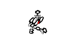 c1ccc(-c2nc(-c3ccccc3)nc(-c3cccc4oc5cc(N(c6ccc7ccccc7c6)c6ccc7c(c6)sc6ccccc67)c6ccccc6c5c34)n2)cc1